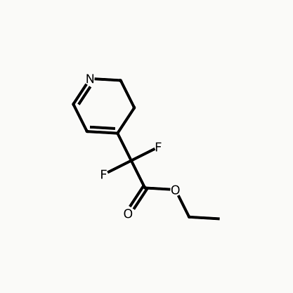 CCOC(=O)C(F)(F)C1=CC=NCC1